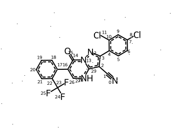 N#Cc1c(-c2ccc(Cl)cc2Cl)nn2c(=O)c(-c3ccccc3C(F)(F)F)c[nH]c12